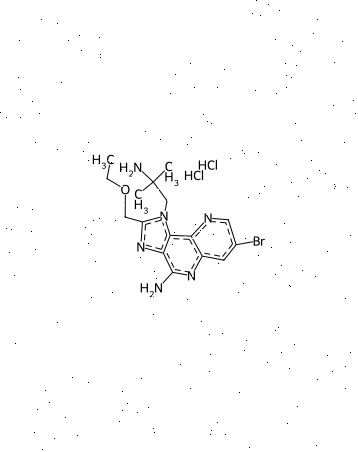 CCOCc1nc2c(N)nc3cc(Br)cnc3c2n1CC(C)(C)N.Cl.Cl